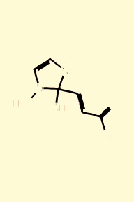 CC(=O)/C=C/C1(S)NC=CN1C